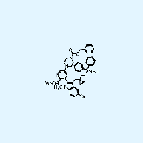 CO[C@@H](C)c1ncc(N2CCN(C(=O)OCc3ccccc3)CC2)cc1-c1[nH]c2ccc(Br)cc2c1CC1(CO[Si](c2ccccc2)(c2ccccc2)C(C)(C)C)CC1